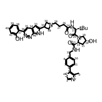 Cc1ncsc1-c1ccc(CNC(=O)[C@@H]2C[C@@H](O)CN2C(=O)[C@@H](NC(=O)CCCN2CC(c3cc4cc(-c5ccccc5O)nnc4[nH]3)C2)C(C)(C)C)cc1